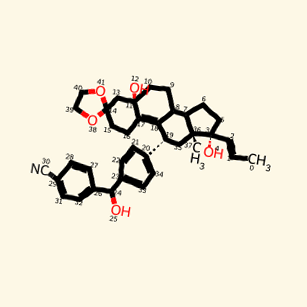 CC=C[C@]1(O)CCC2C3CC[C@@]4(O)CC5(CCC4=C3[C@@H](c3ccc(C(O)c4ccc(C#N)cc4)cc3)C[C@@]21C)OCCO5